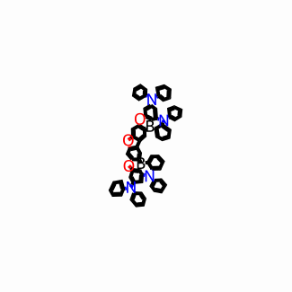 c1ccc(N(c2ccccc2)c2cc3c4c(c2)N(c2ccccc2)c2ccccc2B4c2cc4c(cc2O3)oc2cc3c(cc24)B2c4ccccc4N(c4ccccc4)c4cc(N(c5ccccc5)c5ccccc5)cc(c42)O3)cc1